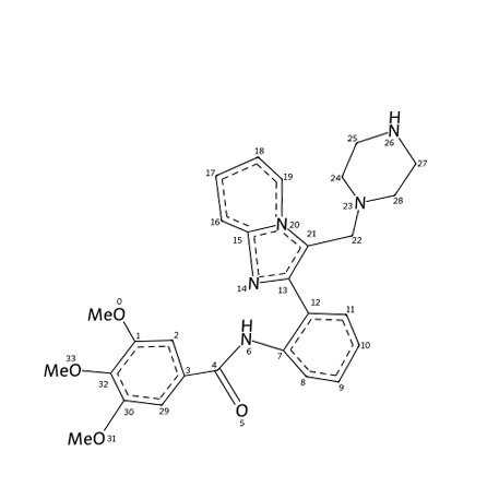 COc1cc(C(=O)Nc2ccccc2-c2nc3ccccn3c2CN2CCNCC2)cc(OC)c1OC